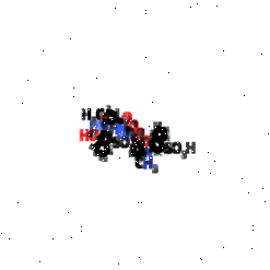 Cc1ccc(C(=O)NC(=O)NC(=O)c2ccc(C)c(Nc3cc(S(=O)(=O)O)c4ccccc4c3O)c2)cc1Nc1cc(S(=O)(=O)O)c2ccccc2c1O